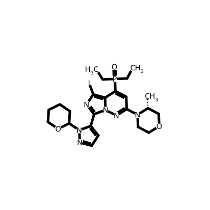 CCP(=O)(CC)c1cc(N2CCOC[C@H]2C)nn2c(-c3ccnn3C3CCCCO3)nc(I)c12